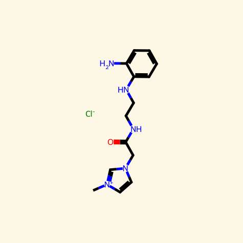 C[n+]1ccn(CC(=O)NCCNc2ccccc2N)c1.[Cl-]